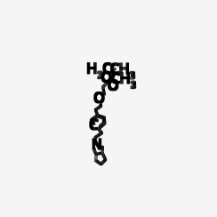 CC(C)(C)OC(=O)CCOCCc1ccc(CCN2CC3CCCC3C2)cc1